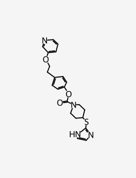 O=C(Oc1ccc(CCOc2cccnc2)cc1)N1CCC(Sc2ncc[nH]2)CC1